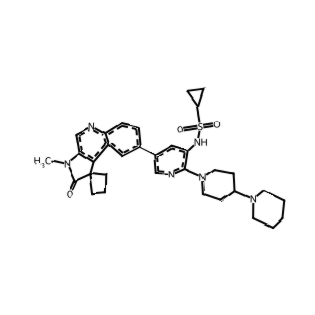 CN1C(=O)C2(CCC2)c2c1cnc1ccc(-c3cnc(N4CCC(N5CCCCC5)CC4)c(NS(=O)(=O)C4CC4)c3)cc21